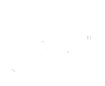 CCO[N]C(=O)OC(C)C